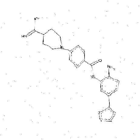 CCCC(=N)C1CCN(c2ccc(C(=O)Nc3cc(-c4cccs4)ccc3N)cc2)CC1